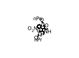 CCCOCCOC(=O)C1=C(C)NC(CF)=C(C(=O)OCCOCCC)C1c1cccc([N+](=O)[O-])c1